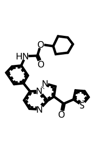 O=C(Nc1cccc(-c2ccnc3c(C(=O)c4cccs4)cnn23)c1)OC1CCCCC1